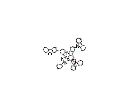 c1ccc(-c2nc(-c3ccccc3)nc(-c3cc(-c4ccc5c(c4)oc4ccccc45)ccc3-n3c4ccc(-n5c6ccccc6c6ccccc65)cc4c4cc(-n5c6ccccc6c6ccccc65)ccc43)n2)cc1